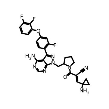 N#CC(=CC1(N)CC1)C(=O)N1CCCC1Cn1nc(-c2ccc(Oc3cccc(F)c3F)cc2F)c2c(N)ncnc21